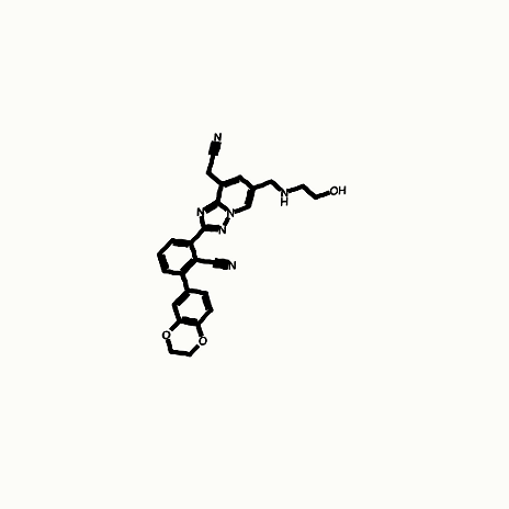 N#CCc1cc(CNCCO)cn2nc(-c3cccc(-c4ccc5c(c4)OCCO5)c3C#N)nc12